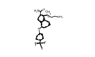 C[C@H](CCN)c1c(C(N)=O)ccc2c(Oc3ccc(C(F)(F)F)cc3)cccc12